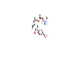 COc1ccc(C2(OC)C=CC(CC(C)OC(=O)C3=C(C)NC=CC3)=CC2)cc1